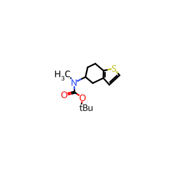 CN(C(=O)OC(C)(C)C)C1CCc2sccc2C1